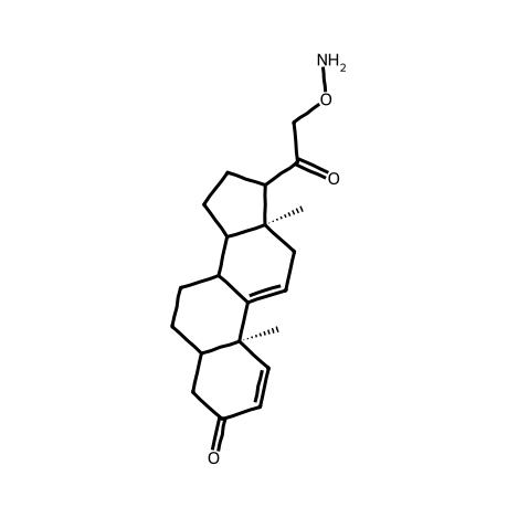 C[C@]12CC=C3C(CCC4CC(=O)C=C[C@]34C)C1CCC2C(=O)CON